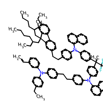 C=Cc1cccc(N(c2ccc(CC)cc2)c2ccc(CCc3ccc(N(c4ccc(C(C)(c5ccc(N(c6ccc(CCc7ccc8c(c7)C(CC(CC)CCCC)(CC(CC)CCCC)c7cc(CC)ccc7-8)cc6)c6cccc7ccccc67)cc5)C(F)(F)F)cc4)c4cccc5ccccc45)cc3)cc2)c1